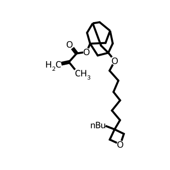 C=C(C)C(=O)OC12CC3CC(CC(OCCCCCCC4(CCCC)COC4)(C3)C1)C2